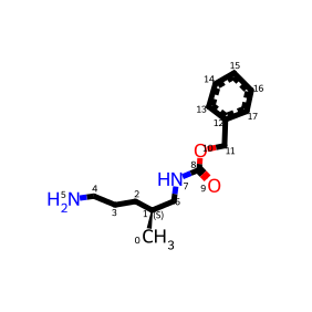 C[C@@H](CCCN)CNC(=O)OCc1ccccc1